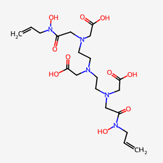 C=CCN(O)C(=O)CN(CCN(CCN(CC(=O)O)CC(=O)N(O)CC=C)CC(=O)O)CC(=O)O